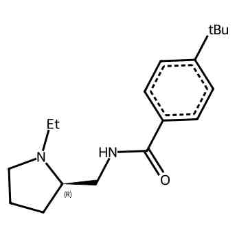 CCN1CCC[C@@H]1CNC(=O)c1ccc(C(C)(C)C)cc1